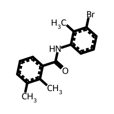 Cc1cccc(C(=O)Nc2cccc(Br)c2C)c1C